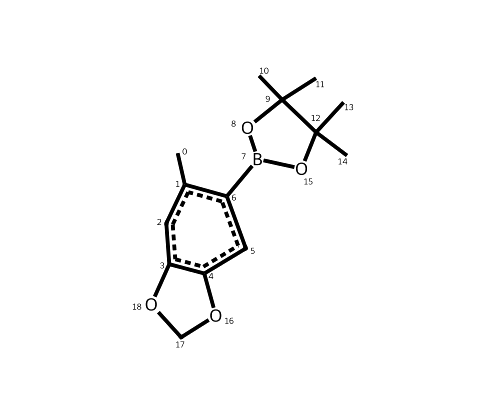 Cc1cc2c(cc1B1OC(C)(C)C(C)(C)O1)OCO2